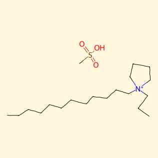 CCCCCCCCCCCC[N+]1(CCC)CCCC1.CS(=O)(=O)O